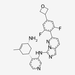 CC1=C[C@H](N)C[C@H](c2ccncc2Nc2ncc3ccc(-c4c(F)cc(C5COC5)cc4F)nn23)C1